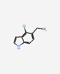 CCc1ccc2[nH]ccc2c1Cl